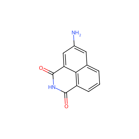 Nc1cc2c3c(cccc3c1)C(=O)NC2=O